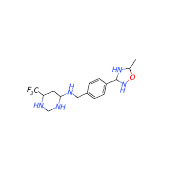 CC1NC(c2ccc(CNC3CC(C(F)(F)F)NCN3)cc2)NO1